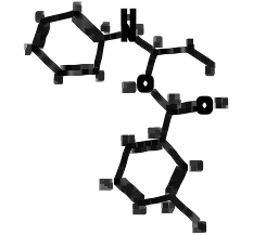 CCC(Nc1ccccc1)OC(=O)c1cccc(C)c1